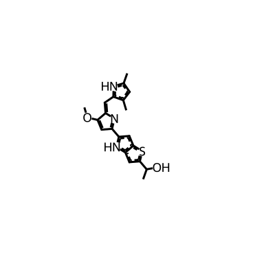 COC1=CC(c2cc3sc(C(C)O)cc3[nH]2)=NC1=Cc1[nH]c(C)cc1C